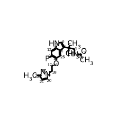 CC(=O)NCC(C)(C)c1c[nH]c2cc(F)c(OCCn3ccc(C)n3)cc12